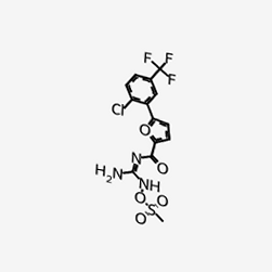 CS(=O)(=O)ONC(N)=NC(=O)c1ccc(-c2cc(C(F)(F)F)ccc2Cl)o1